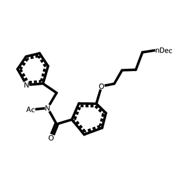 CCCCCCCCCCCCCCOc1cccc(C(=O)N(Cc2ccccn2)C(C)=O)c1